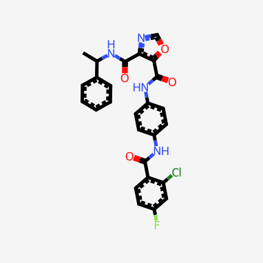 CC(NC(=O)c1ncoc1C(=O)Nc1ccc(NC(=O)c2ccc(F)cc2Cl)cc1)c1ccccc1